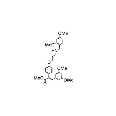 COC(=O)C(=Cc1cc(OC)cc(OC)c1)c1ccc(OCCCNCc2ccc(OC)cc2OC)cc1